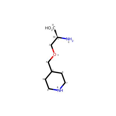 N[C@@H](COCC1CCNCC1)C(=O)O